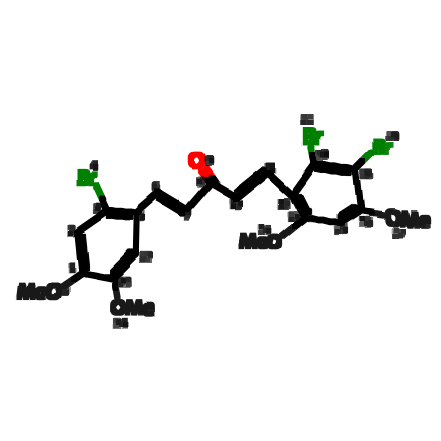 COc1cc(Br)c(C=CC(=O)C=Cc2c(OC)cc(OC)c(Br)c2Br)cc1OC